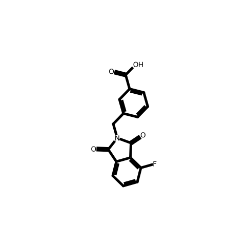 O=C(O)c1cccc(CN2C(=O)c3cccc(F)c3C2=O)c1